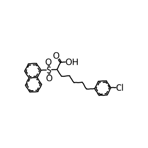 O=C(O)C(CCCCCc1ccc(Cl)cc1)S(=O)(=O)c1cccc2ccccc12